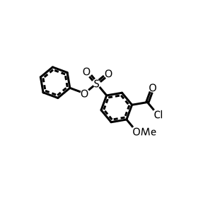 COc1ccc(S(=O)(=O)Oc2ccccc2)cc1C(=O)Cl